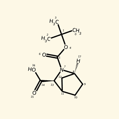 CC(C)(C)OC(=O)N1[C@H]2CCC(C2)[C@H]1C(=O)O